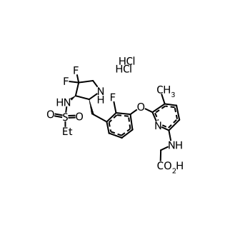 CCS(=O)(=O)N[C@@H]1[C@H](Cc2cccc(Oc3nc(NCC(=O)O)ccc3C)c2F)NCC1(F)F.Cl.Cl